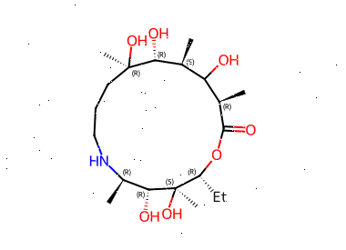 CC[C@H]1OC(=O)[C@H](C)C(O)[C@H](C)[C@@H](O)[C@](C)(O)CCCN[C@H](C)[C@@H](O)[C@]1(C)O